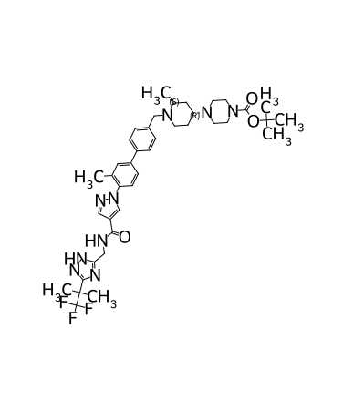 Cc1cc(-c2ccc(CN3CC[C@@H](N4CCN(C(=O)OC(C)(C)C)CC4)C[C@@H]3C)cc2)ccc1-n1cc(C(=O)NCc2nc(C(C)(C)C(F)(F)F)n[nH]2)cn1